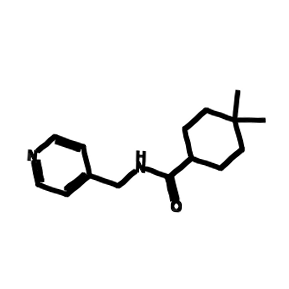 CC1(C)CCC(C(=O)NCc2ccncc2)CC1